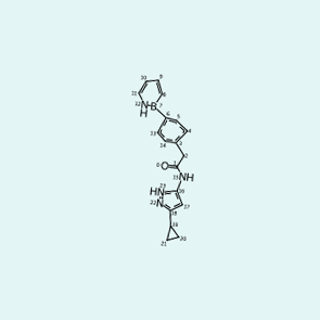 O=C(Cc1ccc(B2C=CC=CN2)cc1)Nc1cc(C2CC2)n[nH]1